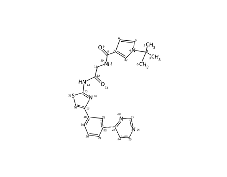 CC(C)(C)n1ccc(C(=O)NCC(=O)Nc2nc(-c3cccc(-c4ccncn4)c3)cs2)c1